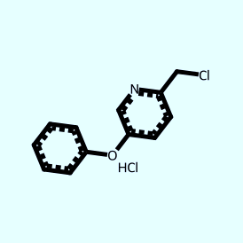 Cl.ClCc1ccc(Oc2ccccc2)cn1